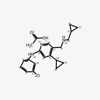 CC(=O)O.Clc1cccc(Nc2cc(C3CC3)c(CNCC3CC3)cn2)c1